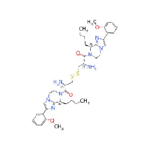 CCCC[C@H]1c2nc(-c3ccccc3OC)cn2CCN1C(=O)[C@@H](N)CSSC[C@H](N)C(=O)N1CCn2cc(-c3ccccc3OC)nc2[C@@H]1CCCC